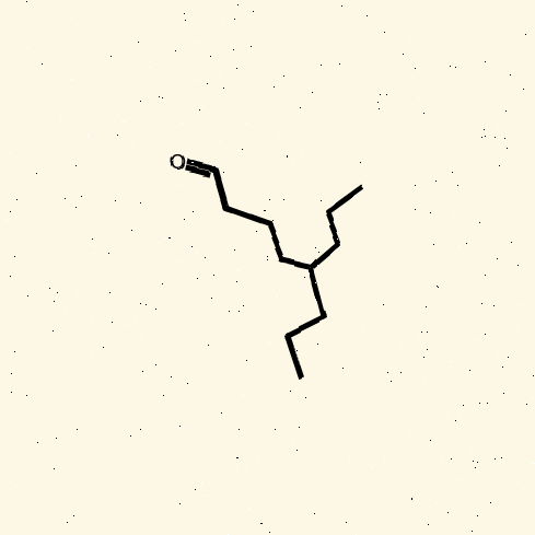 CCCC(CCC)CCCC=O